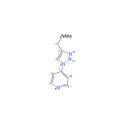 CNCc1cn(-c2ccncc2)nn1